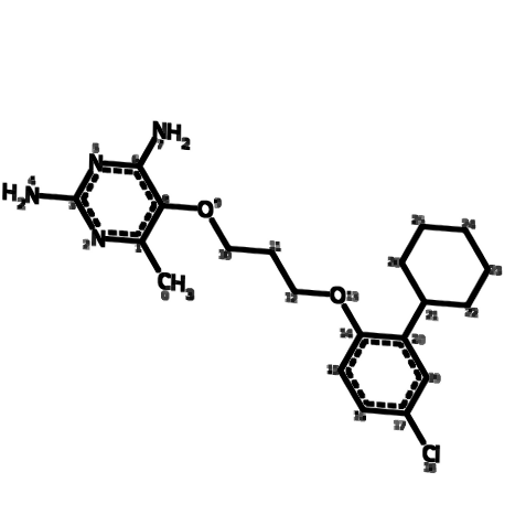 Cc1nc(N)nc(N)c1OCCCOc1ccc(Cl)cc1C1CCCCC1